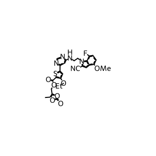 CCOc1cc(-c2cc(NCCn3c(C#N)cc4c(OC)ccc(F)c43)ncn2)sc1C(=O)OCc1oc(=O)oc1C